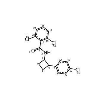 O=C(NC1CCC1c1ccc(Cl)cc1)c1c(Cl)cccc1Cl